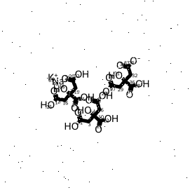 O=C(O)CC(O)(CC(=O)O)C(=O)O.O=C(O)CC(O)(CC(=O)O)C(=O)O.O=C([O-])CC(O)(CC(=O)[O-])C(=O)O.[K+].[Na+]